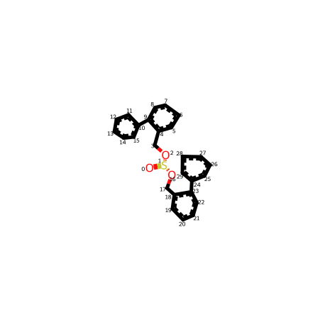 O=S(OCc1ccccc1-c1ccccc1)OCc1ccccc1-c1ccccc1